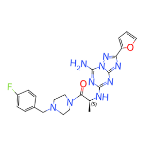 C[C@H](Nc1nc(N)n2nc(-c3ccco3)nc2n1)C(=O)N1CCN(Cc2ccc(F)cc2)CC1